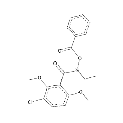 CCN(OC(=O)c1ccccc1)C(=O)c1c(OC)ccc(Cl)c1OC